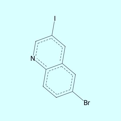 Brc1ccc2ncc(I)cc2c1